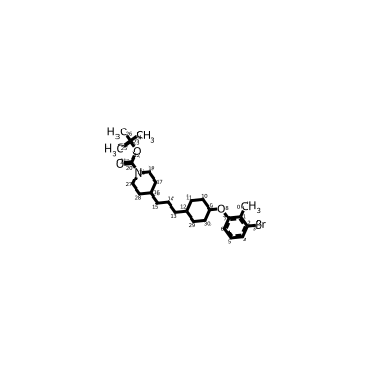 Cc1c(Br)cccc1OC1CCC(CCCC2CCN(C(=O)OC(C)(C)C)CC2)CC1